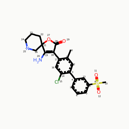 Cc1cc(-c2cccc(S(C)(=O)=O)c2)c(Cl)cc1C1=C(N)C2(CCC[N]C2)OC1=O